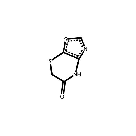 O=C1CSc2scnc2N1